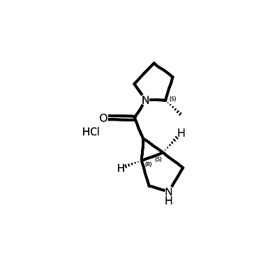 C[C@H]1CCCN1C(=O)C1[C@H]2CNC[C@@H]12.Cl